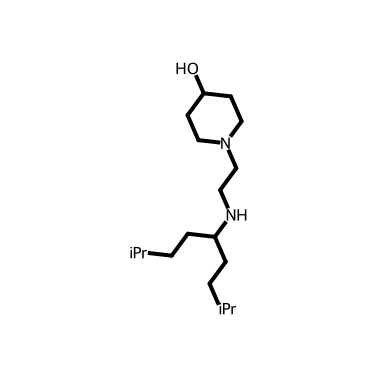 CC(C)CCC(CCC(C)C)NCCN1CCC(O)CC1